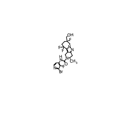 C[C@@H]1Cc2nn3c(c2CN1C(=O)Nc1ccnc(Br)c1F)C(F)(F)CC[C@](F)(CO)C3